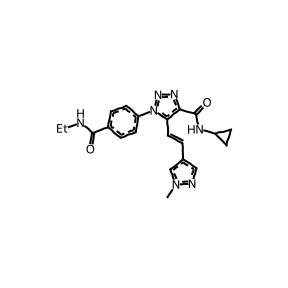 CCNC(=O)c1ccc(-n2nnc(C(=O)NC3CC3)c2/C=C/c2cnn(C)c2)cc1